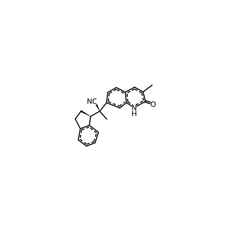 Cc1cc2ccc([C@@](C)(C#N)[C@@H]3CCc4ccccc43)cc2[nH]c1=O